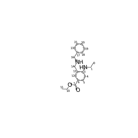 CCNc1ccc(C(=O)OCC)cc1CNCc1ccccc1